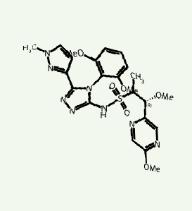 COc1cnc([C@@H](OC)C(C)S(=O)(=O)Nc2nnc(-c3ccn(C)n3)n2-c2c(OC)cccc2OC)cn1